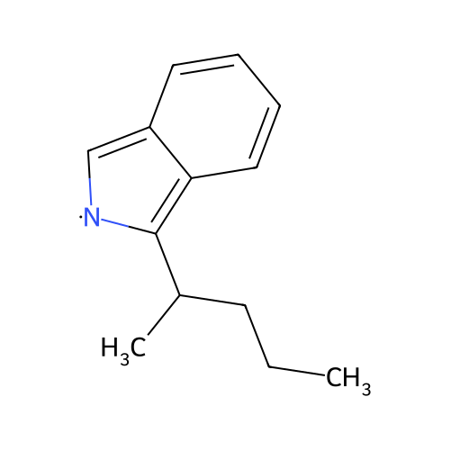 CCCC(C)C1=c2ccccc2=C[N]1